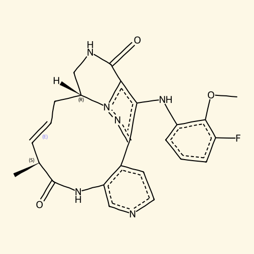 COc1c(F)cccc1Nc1c2nn3c1C(=O)NC[C@H]3C/C=C/[C@H](C)C(=O)Nc1cnccc1-2